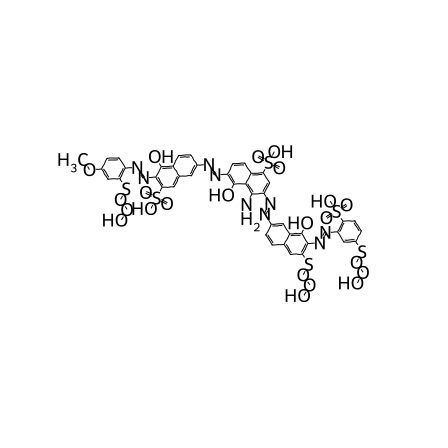 COc1ccc(N=Nc2c(S(=O)(=O)O)cc3cc(N=Nc4ccc5c(S(=O)(=O)O)cc(N=Nc6ccc7cc(SOOO)c(N=Nc8cc(SOOO)ccc8S(=O)(=O)O)c(O)c7c6)c(N)c5c4O)ccc3c2O)c(SOOO)c1